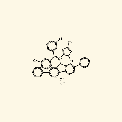 CCC1C=C(C(C)(C)C)C=[C]1[Zr+2](=[C](c1cccc(Cl)c1)c1cccc(Cl)c1)[CH]1c2cc(-c3ccccc3)ccc2-c2ccc(-c3ccccc3)cc21.[Cl-].[Cl-]